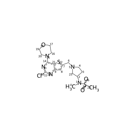 CN(C1CCN(Cc2cc3nc(Cl)nc(N4CCOCC4)c3s2)C1)S(C)(=O)=O